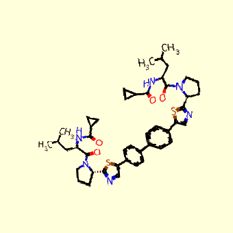 CC(C)CC(NC(=O)C1CC1)C(=O)N1CCC[C@H]1c1ncc(-c2ccc(-c3ccc(-c4cnc([C@@H]5CCCN5C(=O)[C@@H](CC(C)C)NC(=O)C5CC5)s4)cc3)cc2)s1